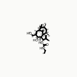 CCNC(=O)O[C@H]1C(C)=C[C@]23C(=O)[C@@H](C=C(CO)[C@@H](O)[C@]12O)C(C)(C)[C@@H](C)C[C@H]3C